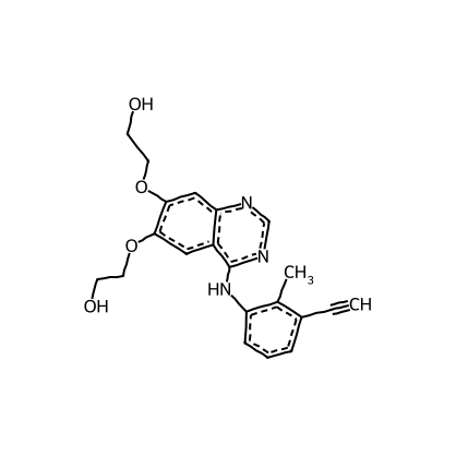 C#Cc1cccc(Nc2ncnc3cc(OCCO)c(OCCO)cc23)c1C